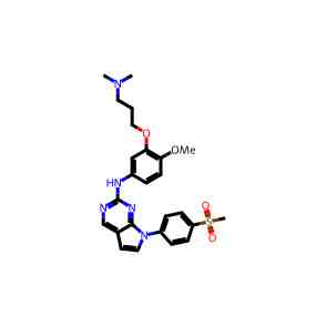 COc1ccc(Nc2ncc3ccn(-c4ccc(S(C)(=O)=O)cc4)c3n2)cc1OCCCN(C)C